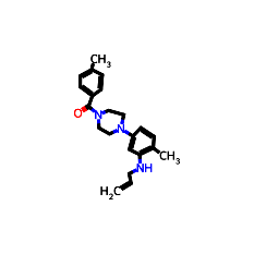 C=CCNc1cc(N2CCN(C(=O)c3ccc(C)cc3)CC2)ccc1C